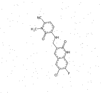 Cn1c(C#N)ccc(NCc2cc3cc(Cl)c(F)cc3[nH]c2=O)c1=O